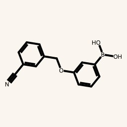 N#Cc1cccc(COc2cccc(B(O)O)c2)c1